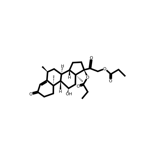 CCC(=O)OCC(=O)[C@@]1(OC(=O)CC)CC[C@H]2[C@@H]3C[C@H](C)C4=CC(=O)CC[C@]4(C)[C@H]3[C@@H](O)C[C@@]21C